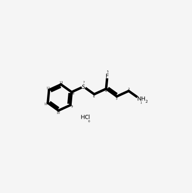 Cl.NC/C=C(\F)CSc1ccccc1